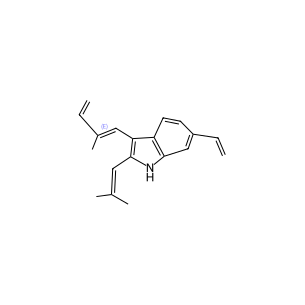 C=C/C(C)=C/c1c(C=C(C)C)[nH]c2cc(C=C)ccc12